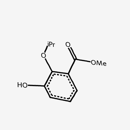 COC(=O)c1cccc(O)c1OC(C)C